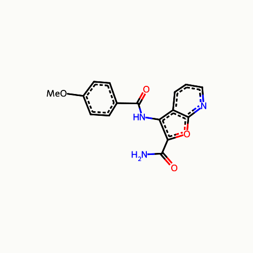 COc1ccc(C(=O)Nc2c(C(N)=O)oc3ncccc23)cc1